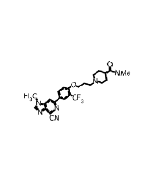 CNC(=O)C1CCN(CCCOc2ccc(-c3cc4c(ncn4C)c(C#N)n3)cc2C(F)(F)F)CC1